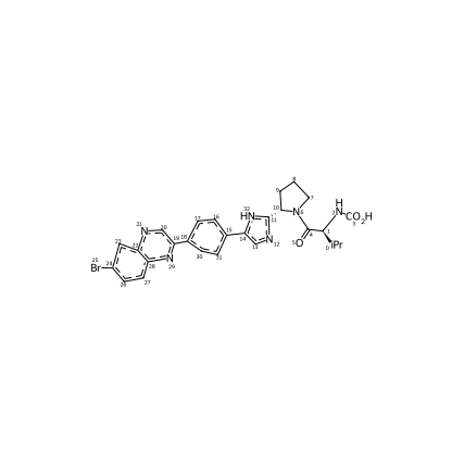 CC(C)[C@H](NC(=O)O)C(=O)N1CCC[C@H]1c1ncc(-c2ccc(-c3cnc4cc(Br)ccc4n3)cc2)[nH]1